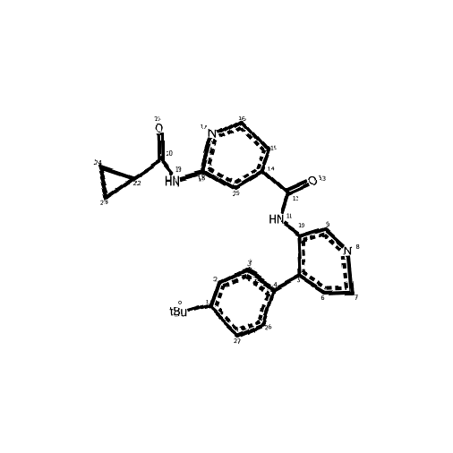 CC(C)(C)c1ccc(-c2ccncc2NC(=O)c2ccnc(NC(=O)C3CC3)c2)cc1